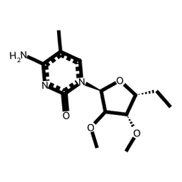 CC[C@H]1O[C@H](n2cc(C)c(N)nc2=O)C(OC)[C@H]1OC